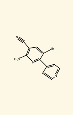 N#Cc1cc(Br)c(-c2ccncc2)nc1N